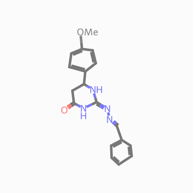 COc1ccc(C2CC(=O)NC(=NN=Cc3ccccc3)N2)cc1